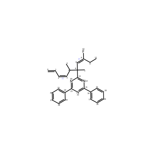 C=C/C=C\C(C)C(C)(/C=C(/F)CC)c1nc(-c2ccccc2)nc(-c2ccccc2)n1